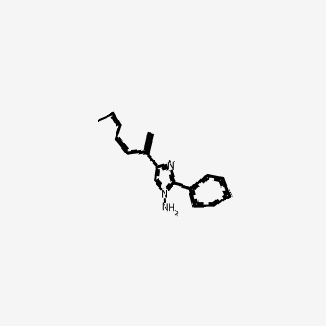 C=C(/C=C\C=C/C)c1cn(N)c(-c2ccccc2)n1